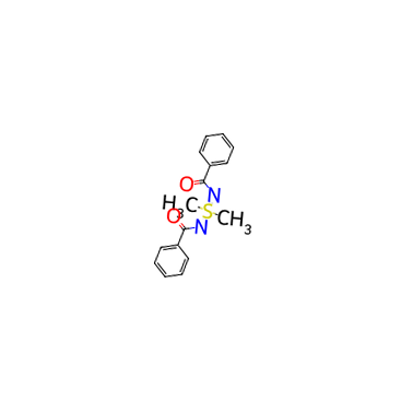 CS(C)(=NC(=O)c1ccccc1)=NC(=O)c1ccccc1